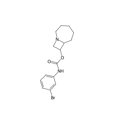 O=C(Nc1cccc(Br)c1)OC1CN2CCCCCC12